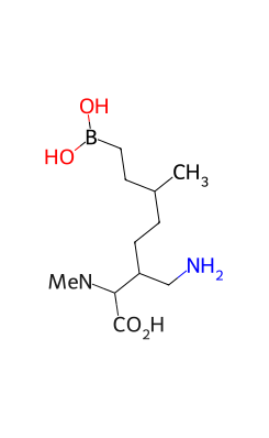 CNC(C(=O)O)C(CN)CCC(C)CCB(O)O